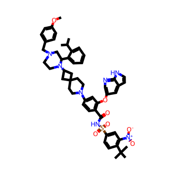 COc1ccc(CN2CCN(C3CC4(CCN(c5ccc(C(=O)NS(=O)(=O)c6ccc(C(C)(C)C)c([N+](=O)[O-])c6)c(Oc6cnc7[nH]ccc7c6)c5)CC4)C3)C(c3ccccc3C(C)C)C2)cc1